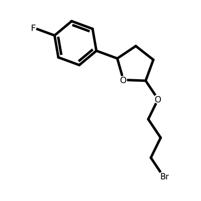 Fc1ccc(C2CCC(OCCCBr)O2)cc1